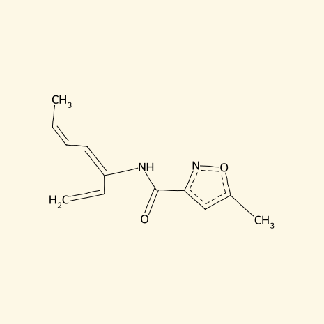 C=C/C(=C\C=C/C)NC(=O)c1cc(C)on1